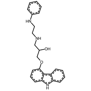 OC(CNCCNc1ccccc1)COc1cccc2[nH]c3ccccc3c12